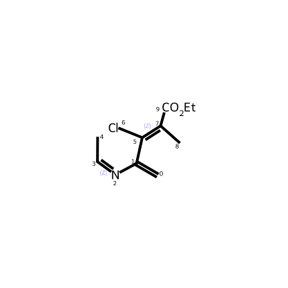 C=C(/N=C\C)/C(Cl)=C(\C)C(=O)OCC